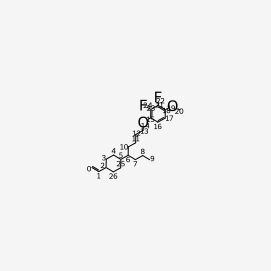 C=CC1CCC(C(CCC)CCCCOc2ccc(OC)c(F)c2F)CC1